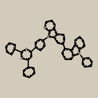 c1ccc(-c2cc(-c3ccc(-n4c5cc(-c6cccc7c6c6ccccc6n7-c6ccccc6)ccc5c5cccnc54)cc3)nc(-c3ccccc3)n2)cc1